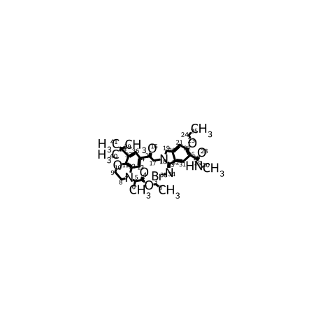 CCOC(=O)C(C)N1CCOc2c1cc(C(=O)CN1Cc3cc(OCC)c(C(=O)NC)cc3/C1=N/Br)cc2C(C)(C)C